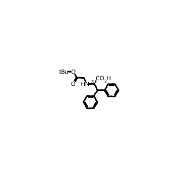 CC(C)(C)OC(=O)CN[C@@H](C(=O)O)C(c1ccccc1)c1ccccc1